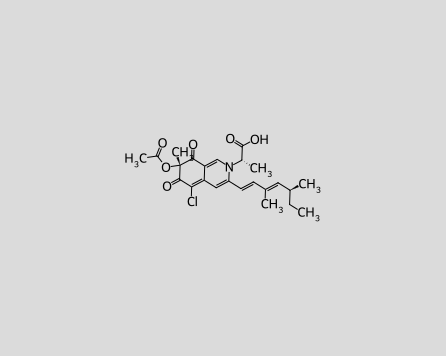 CC[C@H](C)/C=C(C)/C=C/C1=CC2=C(Cl)C(=O)[C@](C)(OC(C)=O)C(=O)C2=CN1[C@@H](C)C(=O)O